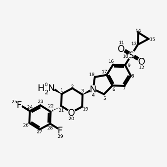 N[C@H]1C[C@@H](N2Cc3ccc(S(=O)(=O)C4CC4)cc3C2)CO[C@@H]1c1cc(F)ccc1F